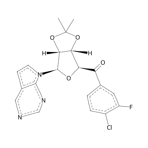 CC1(C)O[C@@H]2[C@H](O1)[C@@H](C(=O)c1ccc(Cl)c(F)c1)O[C@H]2n1ccc2cncnc21